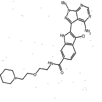 CC(C)(C)n1nc(-c2[nH]c3cc(C(=O)NCCOCCN4CCCCC4)ccc3c2Cl)c2c(N)ncnc21